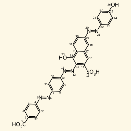 O=C(O)c1ccc(N=Nc2ccc(N=Nc3c(S(=O)(=O)O)cc4cc(N=Nc5ccc(O)cc5)ccc4c3O)cc2)cc1